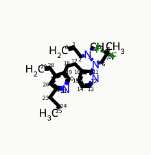 C=CCN(C)N(CC(C)(F)F)c1ncccc1CCc1cnc(CCC)cc1C=C